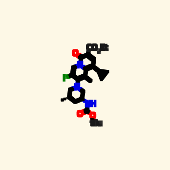 CCOC(=O)c1cc(C2CC2)c2c(C)c(N3C[C@@H](C)C[C@H](NC(=O)OC(C)(C)C)C3)c(F)cn2c1=O